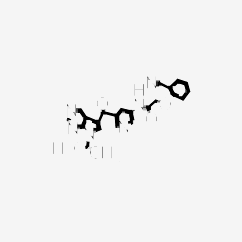 CC(C)n1cc(C(=O)c2cncc(NC(=O)COc3ccccc3C#N)c2)c2cncnc21